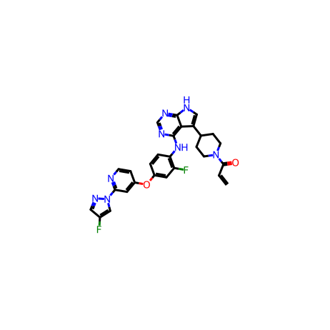 C=CC(=O)N1CCC(c2c[nH]c3ncnc(Nc4ccc(Oc5ccnc(-n6cc(F)cn6)c5)cc4F)c23)CC1